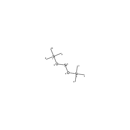 C[Si](C)(C)O[Si]O[Si](C)(C)C